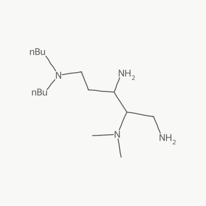 CCCCN(CCCC)CCC(N)C(CN)N(C)C